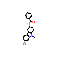 Cn1c2c(c3ccc(Br)cc31)CC(OC(=O)c1ccccc1)CC2